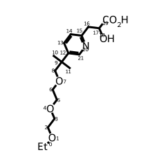 CCOCCOCCOCC(C)(C)c1ccc(CC(O)C(=O)O)nc1